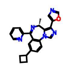 C[C@H]1N=C(c2ccccn2)c2cc(C3CCC3)ccc2-n2cnc(-c3cnco3)c21